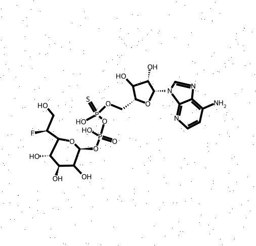 Nc1ccnc2c1ncn2[C@@H]1O[C@H](COP(O)(=S)OP(=O)(O)O[C@@H]2OC([C@@H](F)CO)[C@@H](O)[C@H](O)C2O)C(O)[C@@H]1O